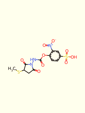 CSC1CC(=O)N(NC(=O)Oc2ccc(S(=O)(=O)O)cc2[N+](=O)[O-])C1=O